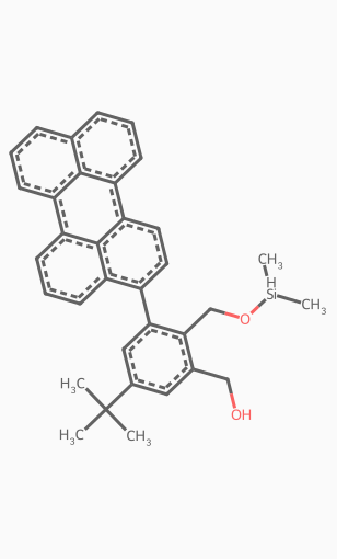 C[SiH](C)OCc1c(CO)cc(C(C)(C)C)cc1-c1ccc2c3cccc4cccc(c5cccc1c52)c43